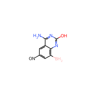 Bc1cc(N=O)cc2c(N)nc(O)nc12